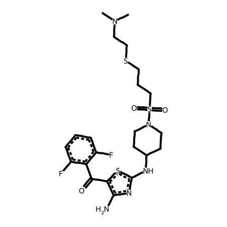 CN(C)CCSCCCS(=O)(=O)N1CCC(Nc2nc(N)c(C(=O)c3c(F)cccc3F)s2)CC1